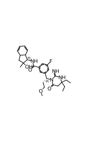 CCC1(CC)CC(=O)N([C@H](CCOC)c2cc(F)cc(C(=O)N[C@@H]3C4C=CC=CC4CC3(C)O)c2)C(=N)N1